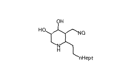 CCCCCCCCCC1NCC(O)C(O)C1CN=O